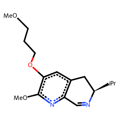 COCCCOc1cc2c(nc1OC)C=N[C@H](C(C)C)C2